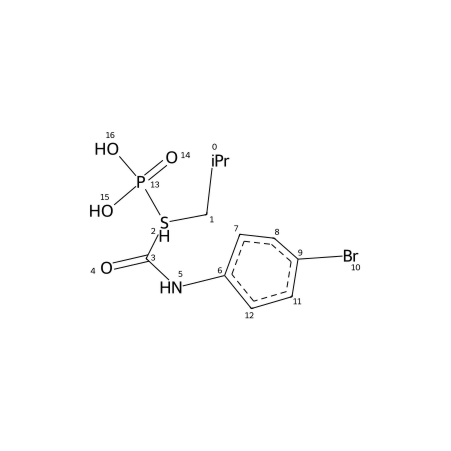 CC(C)C[SH](C(=O)Nc1ccc(Br)cc1)P(=O)(O)O